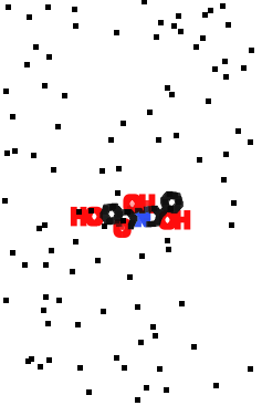 Oc1ccc2c(c1)OC[C@@H](N1CCC(O)(c3ccccc3)CC1)[C@H]2O